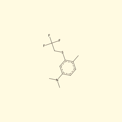 Cc1ccc(N(C)C)cc1SCC(F)(F)F